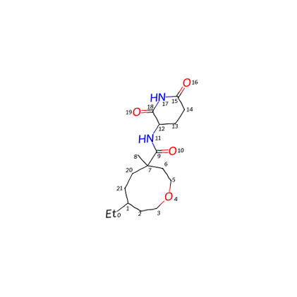 CCC1CCOCCC(C)(C(=O)NC2CCC(=O)NC2=O)CC1